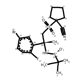 CC(C)(C)[S@@+]([O-])N[C@@](C)(CS(=O)(=O)C1(C#N)CCCC1)c1cc(Br)ccc1F